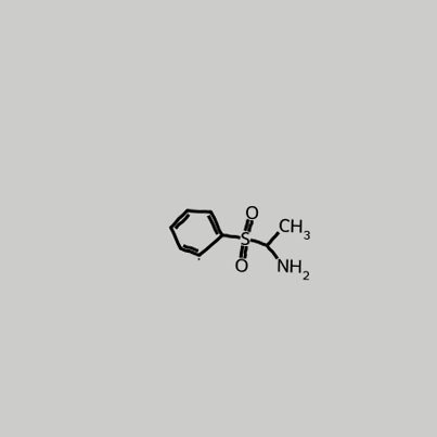 CC(N)S(=O)(=O)c1[c]cccc1